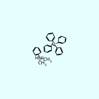 C[NH+](C)c1ccccc1.c1cc[c]([Al-]([c]2ccccc2)([c]2ccccc2)[c]2ccccc2)cc1